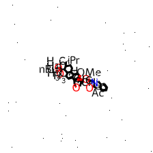 CCCCOC(=O)[C@@H]1[C@@](C)([C@H](C)C(C)C)CC[C@]2(C)[C@H]3CC[C@@H]4C5(COC[C@]4(C)[C@@H](OCCN(Cc4ccccc4)C(=O)CC(C)=O)[C@H](OC)C5)C3=CC[C@@]12C